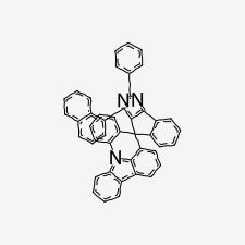 c1ccc(-c2nc3c(c(-c4cccc5ccccc45)n2)C2(c4ccccc4-3)c3ccccc3-n3c4ccccc4c4cccc2c43)cc1